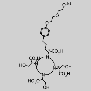 CCOCCOCCOc1ccc(CCC[C@@H](C(=O)O)N2CCN(C(CO)C(=O)O)CCN(C(CO)C(=O)O)CCN([C@H](CO)C(=O)O)CC2)cc1